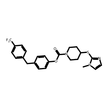 Cn1ccnc1SC1CCN(C(=O)Oc2ccc(Cc3ccc(C(F)(F)F)cc3)cc2)CC1